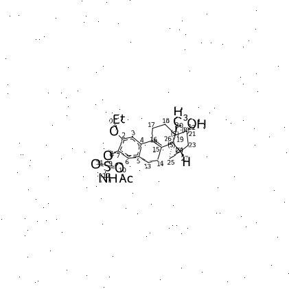 CCOc1cc2c(cc1OS(=O)(=O)NC(C)=O)CCC1=C2CC[C@]2(C)[C@H](O)C[C@@H]3C[C@@]132